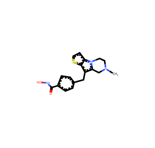 CN1CCn2c(c(Cc3ccc(C(=O)NO)cc3)c3sccc32)C1